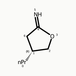 CCC[C@H]1COC(=N)C1